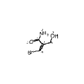 NC(=O)C(=CBr)CO